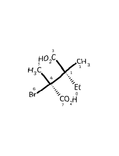 CC[C@@](C)(C(=O)O)[C@](C)(Br)C(=O)O